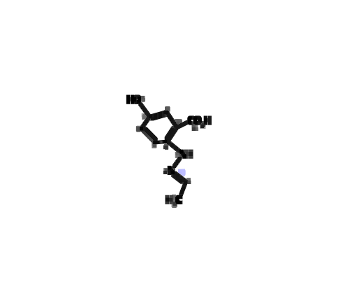 C/C=N/Nc1ccc(O)cc1C(=O)O